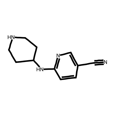 N#Cc1ccc(NC2CCNCC2)nc1